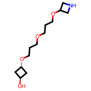 O[C@H]1C[C@H](OCCCOCCCOC2CNC2)C1